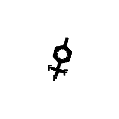 Cc1ccc(S(F)(F)F)cc1